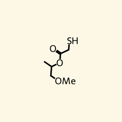 COCC(C)OC(=O)CS